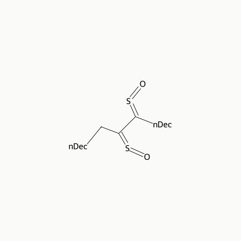 CCCCCCCCCCCC(=S=O)C(CCCCCCCCCC)=S=O